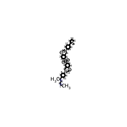 C/C=C\C=C(/C)c1ccc(N2COc3ccc(S(=O)(=O)c4ccc5c(c4)CN(c4ccc(-c6cccs6)cc4)CO5)cc3C2)cc1